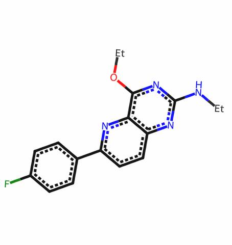 CCNc1nc(OCC)c2nc(-c3ccc(F)cc3)ccc2n1